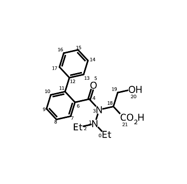 CCN(CC)N(C(=O)c1ccccc1-c1ccccc1)C(CO)C(=O)O